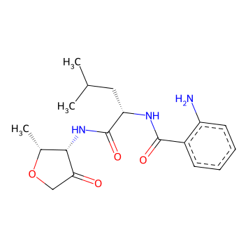 CC(C)C[C@H](NC(=O)c1ccccc1N)C(=O)N[C@@H]1C(=O)CO[C@@H]1C